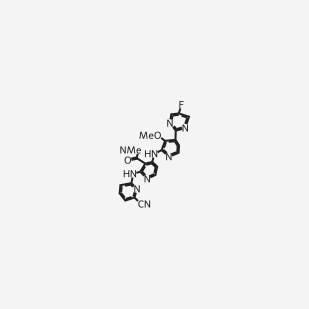 CNC(=O)c1c(Nc2nccc(-c3ncc(F)cn3)c2OC)ccnc1Nc1cccc(C#N)n1